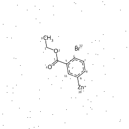 CCOC(=O)c1ccc[c]([Zn+])c1.[Br-]